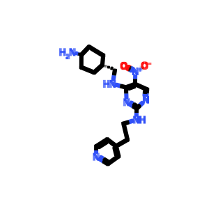 N[C@H]1CC[C@H](CNc2nc(NCCc3ccncc3)ncc2[N+](=O)[O-])CC1